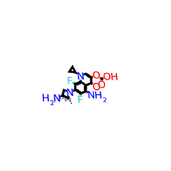 C[C@@H]1[C@@H](N)CN1c1c(F)c(N)c2c(=O)c(OC(=O)O)cn(C3CC3)c2c1F